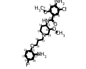 COc1cc(N)c(Cl)cc1C(=O)NC1CCN(CCCOc2ccc(F)cc2N)CC1OC